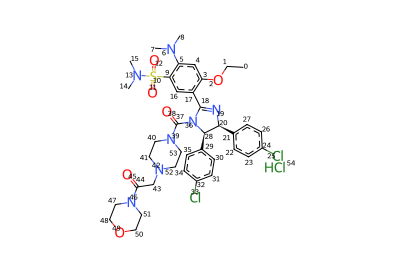 CCOc1cc(N(C)C)c(S(=O)(=O)N(C)C)cc1C1=N[C@@H](c2ccc(Cl)cc2)[C@@H](c2ccc(Cl)cc2)N1C(=O)N1CCN(CC(=O)N2CCOCC2)CC1.Cl